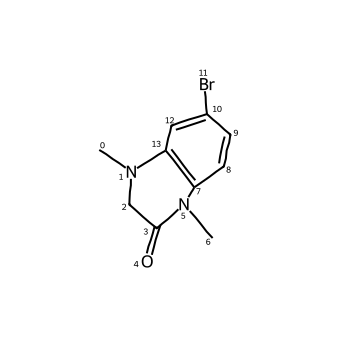 CN1CC(=O)N(C)c2ccc(Br)cc21